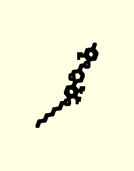 CCCCCCCCOc1ccc(C2CCC(COc3ccc(C)cc3F)CO2)c(F)c1F